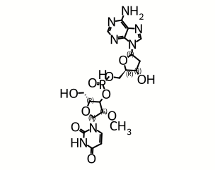 CO[C@H]1C(O[PH](=O)OC[C@H]2O[C@@H](n3cnc4c(N)ncnc43)C[C@H]2O)[C@@H](CO)O[C@H]1n1ccc(=O)[nH]c1=O